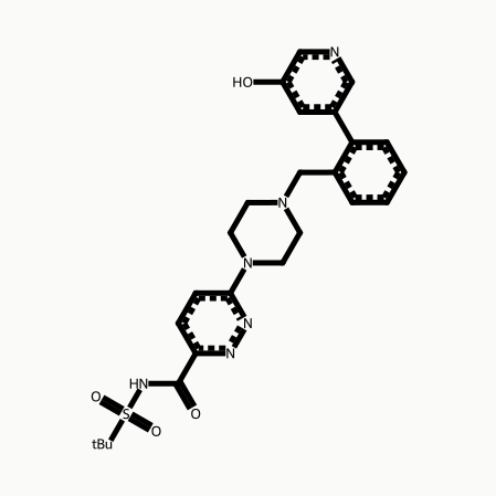 CC(C)(C)S(=O)(=O)NC(=O)c1ccc(N2CCN(Cc3ccccc3-c3cncc(O)c3)CC2)nn1